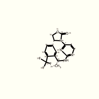 C[C@@H](Nc1nccc(N2CCOC2=O)n1)c1ccccc1C(F)(F)F